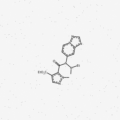 CCOC(=O)c1cnn(C)c1C(=O)N(c1ccn2ncnc2c1)N(C)CC